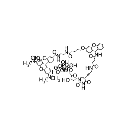 CN(C)c1ccc2c(-c3ccc(C(=O)NCCNC(=O)CCCCOc4ccc5c(c4)Oc4ccccc4C5NC(=O)CCC(=O)NCC#Cc4cn(C5CC(O)C(COP(=O)(O)OP(=O)(O)OP(=O)(O)O)O5)c(=O)[nH]c4=O)cc3C(=O)O)c3ccc(=[N+](C)C)cc-3oc2c1